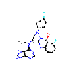 CN(c1ncnc2[nH]cnc12)[C@H]1CN(c2ccc(F)cc2)n2c1nc1cccc(F)c1c2=O